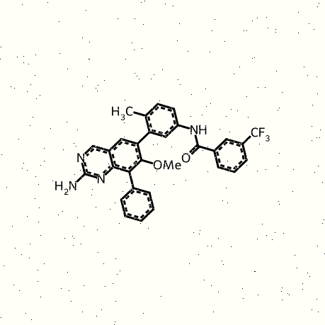 COc1c(-c2cc(NC(=O)c3cccc(C(F)(F)F)c3)ccc2C)cc2cnc(N)nc2c1-c1ccccc1